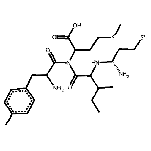 CCC(C)C(N[C@@H](N)CCS)C(=O)N(C(=O)C(N)Cc1ccc(I)cc1)C(CCSC)C(=O)O